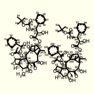 CC(=O)O[C@@]12CO[C@@H]1C[C@H](O)[C@@]1(C)C(=O)[C@H](O)C3=C(C)[C@@H](OC(=O)[C@H](O)[C@@H](NC(=O)OC(C)(C)C)c4ccccc4)C[C@@](O)([C@@H](OC(=O)c4ccccc4)[C@H]21)C3(C)C.CC(=O)O[C@@]12CO[C@@H]1C[C@H](O)[C@@]1(C)C(=O)[C@H](O)C3=C(C)[C@@H](OC(=O)[C@H](O)[C@@H](NC(=O)OC(C)(C)C)c4ccccc4)C[C@@](O)([C@@H](OC(=O)c4ccccc4)[C@H]21)C3(C)C.O